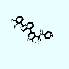 Cc1ncc(-c2cccn3c(-c4cccc(F)c4F)ncc23)cc1C(=O)Nc1ccncc1